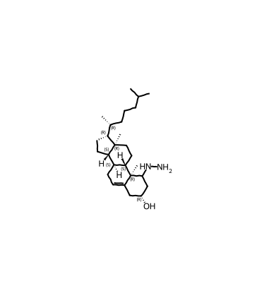 CC(C)CCC[C@@H](C)[C@H]1CC[C@H]2[C@@H]3CC=C4C[C@@H](O)CC(NN)[C@]4(C)[C@H]3CC[C@]12C